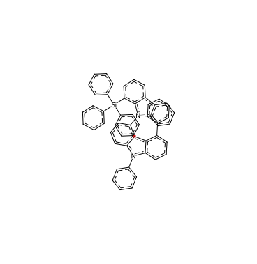 c1ccc(-c2cccc3c2c2c(-n4c5ccccc5c5cccc([Si](c6ccccc6)(c6ccccc6)c6ccccc6)c54)cccc2n3-c2ccccc2)cc1